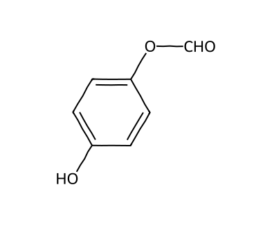 O=COc1ccc(O)cc1